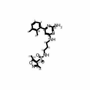 Cc1cccc(-c2cc(NCCCNS(=O)(=O)c3c(C)noc3C)nc(N)n2)c1C